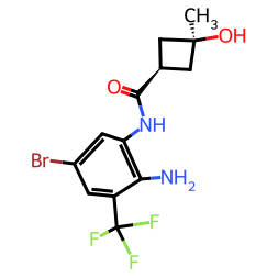 C[C@]1(O)C[C@@H](C(=O)Nc2cc(Br)cc(C(F)(F)F)c2N)C1